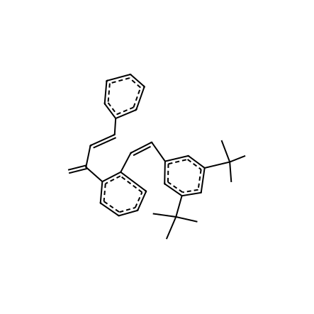 C=C(C=Cc1ccccc1)c1ccccc1C=Cc1cc(C(C)(C)C)cc(C(C)(C)C)c1